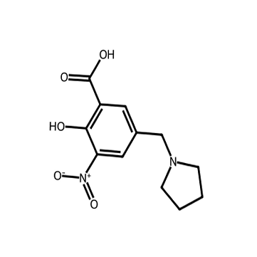 O=C(O)c1cc(CN2CCCC2)cc([N+](=O)[O-])c1O